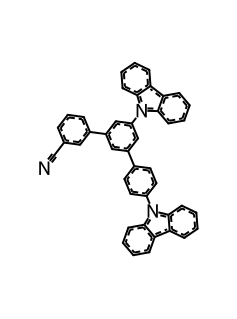 N#Cc1cccc(-c2cc(-c3ccc(-n4c5ccccc5c5ccccc54)cc3)cc(-n3c4ccccc4c4ccccc43)c2)c1